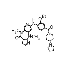 CCOc1cc(C(=O)N2CCC(N3CCCC3)CC2)ccc1Nc1cc2c(cn1)N(C)C(=O)C1=C(N=CC1)N2C